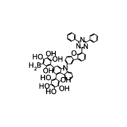 Bc1c(O)c(O)c(O)c(-c2cc(-c3c(O)c(O)c(O)c(O)c3O)c3c4ccccc4n(-c4ccc5oc6c(-c7nc(-c8ccccc8)nc(-c8ccccc8)n7)cccc6c5c4)c3c2)c1O